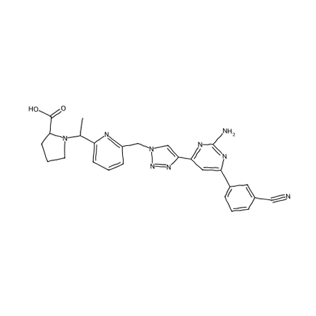 CC(c1cccc(Cn2cc(-c3cc(-c4cccc(C#N)c4)nc(N)n3)nn2)n1)N1CCCC1C(=O)O